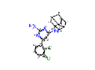 Nc1nc(NC23CC4CC(CC(C4)C2)C3)cc(-c2cccc(Cl)c2Cl)n1